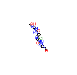 Cc1c(NC(=O)c2nc3c(n2C)CCN(CC(C)O)C3)cccc1-c1nccc(NC(=O)c2nc3c(n2C)CCN(CC2COC2)C3)c1Cl